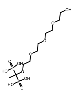 CC(OCCOCCOCCOCCO)(P(=O)(O)O)P(=O)(O)O